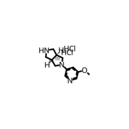 COc1cncc(N2C[C@H]3CNC[C@H]3C2)c1.Cl.Cl